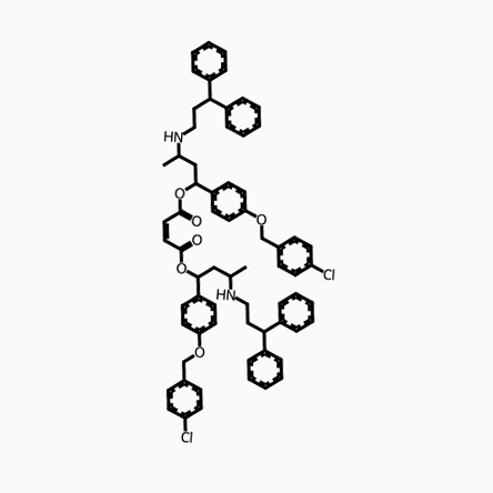 CC(CC(OC(=O)/C=C\C(=O)OC(CC(C)NCCC(c1ccccc1)c1ccccc1)c1ccc(OCc2ccc(Cl)cc2)cc1)c1ccc(OCc2ccc(Cl)cc2)cc1)NCCC(c1ccccc1)c1ccccc1